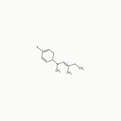 CC/C(C)=C/N(C)C1C=CC(F)=CC1